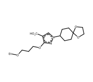 CCOCCCOc1nn(C2CCC3(CC2)OCCO3)cc1C(=O)O